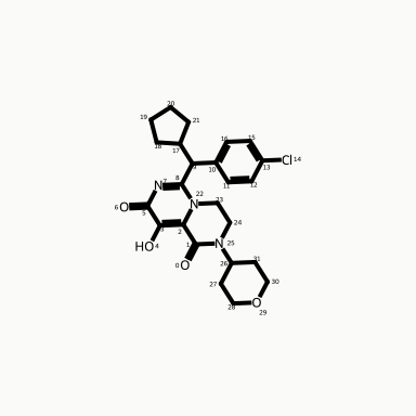 O=C1c2c(O)c(=O)nc(C(c3ccc(Cl)cc3)C3CCCC3)n2CCN1C1CCOCC1